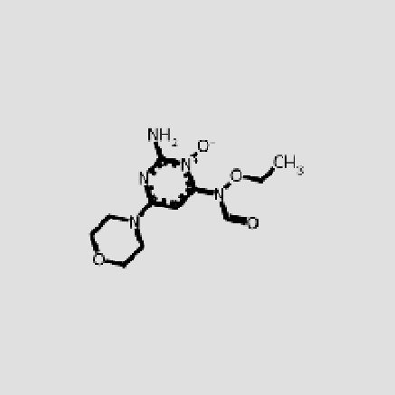 CCON(C=O)c1cc(N2CCOCC2)nc(N)[n+]1[O-]